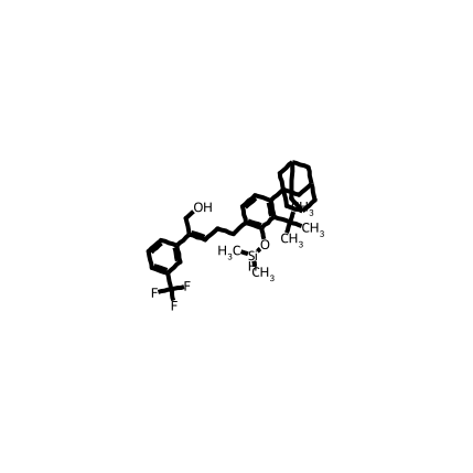 C[SiH](C)Oc1c(CCC=C(CO)c2cccc(C(F)(F)F)c2)ccc(C23CC4CC(CC(C4)C2)C3)c1C(C)(C)C